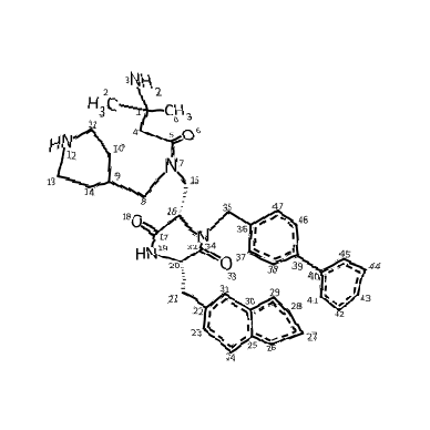 CC(C)(N)CC(=O)N(CC1CCNCC1)C[C@H]1C(=O)N[C@@H](Cc2ccc3ccccc3c2)C(=O)N1Cc1ccc(-c2ccccc2)cc1